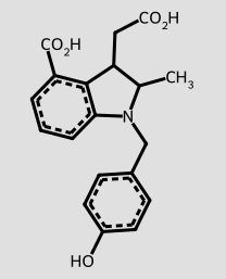 CC1C(CC(=O)O)c2c(C(=O)O)cccc2N1Cc1ccc(O)cc1